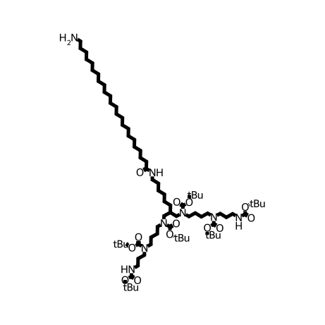 CC(C)(C)OC(=O)NCCCN(CCCCN(CC(CCCCCCNC(=O)CCCCCCCCCCCCCCCCCCCCCCCN)CN(CCCCN(CCCNC(=O)OC(C)(C)C)C(=O)OC(C)(C)C)C(=O)OC(C)(C)C)C(=O)OC(C)(C)C)C(=O)OC(C)(C)C